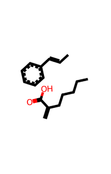 C=C(CCCCC)C(=O)O.CC=Cc1ccccc1